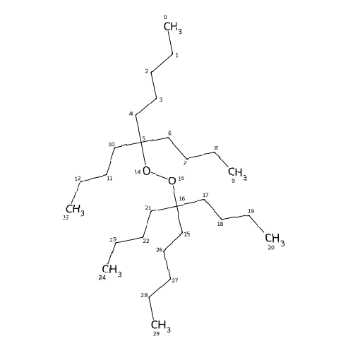 CCCCCC(CCCC)(CCCC)OOC(CCCC)(CCCC)CCCCC